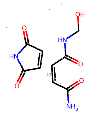 NC(=O)/C=C\C(=O)NCO.O=C1C=CC(=O)N1